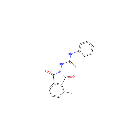 Cc1cccc2c1C(=O)N(NC(=S)Nc1ccccc1)C2=O